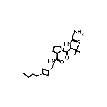 CCCC[C@H]1C[C@H](CNC(=O)C2CCCN2C(=O)[C@@H](NC(=S)CN)C(C)(C)C)C1